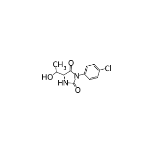 CC(O)C1NC(=O)N(c2ccc(Cl)cc2)C1=O